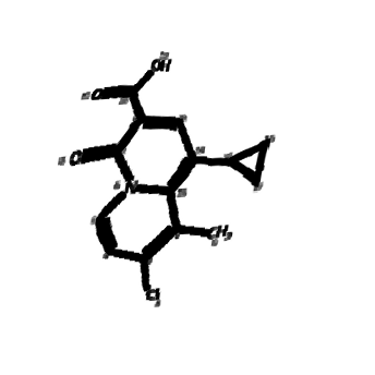 Cc1c(Cl)ccn2c(=O)c(C(=O)O)cc(C3CC3)c12